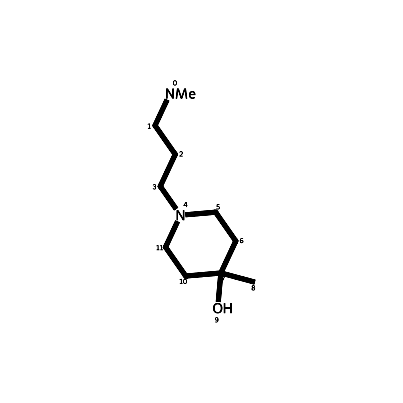 CNCCCN1CCC(C)(O)CC1